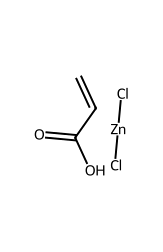 C=CC(=O)O.[Cl][Zn][Cl]